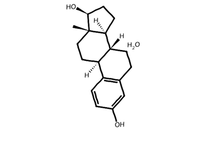 C[C@]12CC[C@@H]3c4ccc(O)cc4CC[C@H]3[C@@H]1CC[C@@H]2O.O